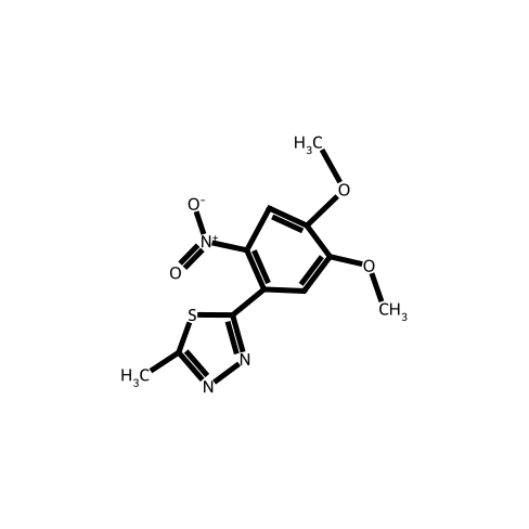 COc1cc(-c2nnc(C)s2)c([N+](=O)[O-])cc1OC